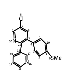 CSc1ccc(-c2cc(Cl)cnc2-c2cccnc2)cc1